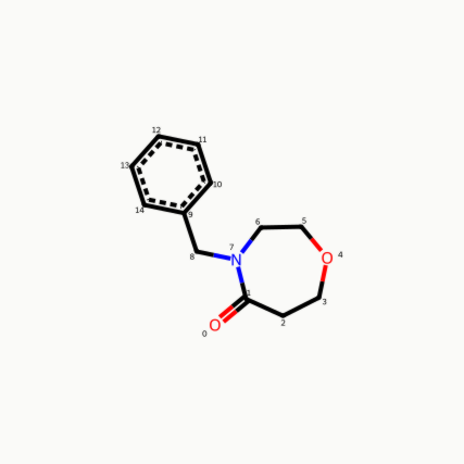 O=C1CCOCCN1Cc1ccccc1